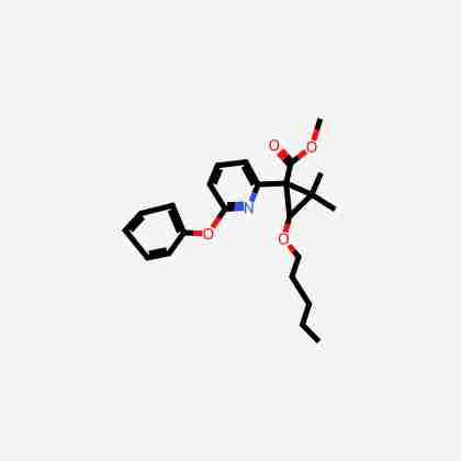 CCCCCOC1C(C)(C)C1(C(=O)OC)c1cccc(Oc2ccccc2)n1